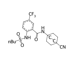 CCCCS(=O)(=O)Nc1ccc(C(F)(F)F)cc1C(=O)NC12CCC(C#N)(CC1)CC2